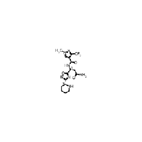 Cn1cc(C(=O)N[C@@H](CC(N)=O)c2nc([C@H]3CCCCN3)no2)c(C(F)(F)F)n1